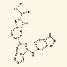 C=C(NC(C)C)c1cc2ccc(-c3nc(Nc4ccc5[nH]ncc5c4)c4sccc4n3)cc2[nH]1